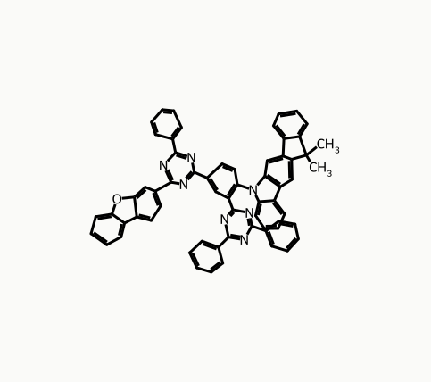 CC1(C)c2ccccc2-c2cc3c(cc21)c1ccccc1n3-c1ccc(-c2nc(-c3ccccc3)nc(-c3ccc4c(c3)oc3ccccc34)n2)cc1-c1nc(-c2ccccc2)nc(-c2ccccc2)n1